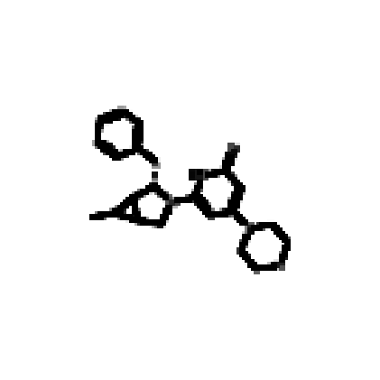 CC1C2CN(c3cc(N4CCOCC4)cc(=O)[nH]3)[C@@H](Cc3ccccc3)C12